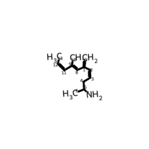 C=C(/C=C\CC(C)N)/C=C(C)/C=C\C